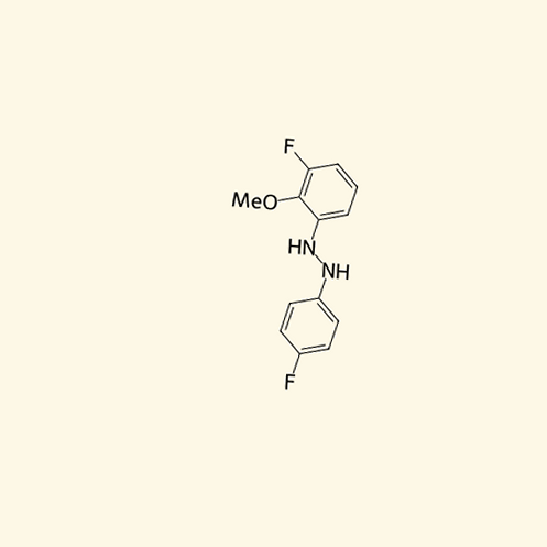 COc1c(F)cccc1NNc1ccc(F)cc1